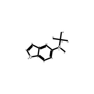 CN(c1ccc2occc2c1)C(C)(C)C